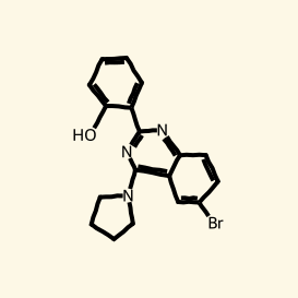 Oc1ccccc1-c1nc(N2CCCC2)c2cc(Br)ccc2n1